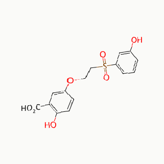 O=C(O)c1cc(OCCS(=O)(=O)c2cccc(O)c2)ccc1O